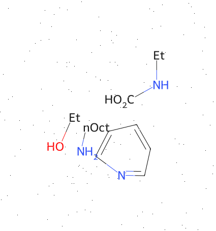 CCCCCCCCN.CCNC(=O)O.CCO.c1ccncc1